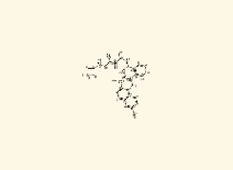 COc1ccc2cc(Br)ccc2c1CN(C=O)c1ccccc1CCC(C)NC(=O)CNC1CNC1